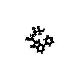 CON1Cc2c(cccc2-c2ccncc2)C1=O.O=C(O)C(F)(F)F